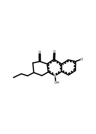 CCCC1CC(=O)c2c(n(O)c3ccc(Cl)cc3c2=O)C1